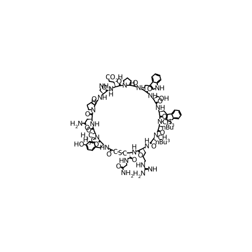 CCCC[C@H]1C(=O)N(C)[C@@H](CCCC)C(=O)N[C@@H](CCCNC(=N)N)C(=O)N[C@H](C(=O)NCC(N)=O)CSCC(=O)N[C@@H](Cc2ccc(O)cc2)C(=O)N(C)[C@@H](C)C(=O)N[C@@H](CC(N)=O)C(=O)N2CCC[C@H]2C(=O)N[C@@H](CN)C(=O)N[C@@H](CCC(=O)O)C(=O)N2CCC[C@H]2C(=O)N[C@@H](Cc2c[nH]c3ccccc23)C(=O)N[C@@H](CO)C(=O)N[C@@H](Cc2csc3ccccc23)C(=O)N1C